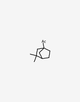 CC(=O)C12CCC(C1)C(C)(C)C2